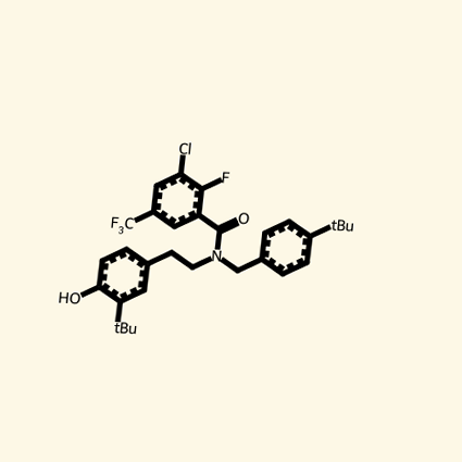 CC(C)(C)c1ccc(CN(CCc2ccc(O)c(C(C)(C)C)c2)C(=O)c2cc(C(F)(F)F)cc(Cl)c2F)cc1